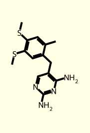 CSc1cc(C)c(Cc2cnc(N)nc2N)cc1SC